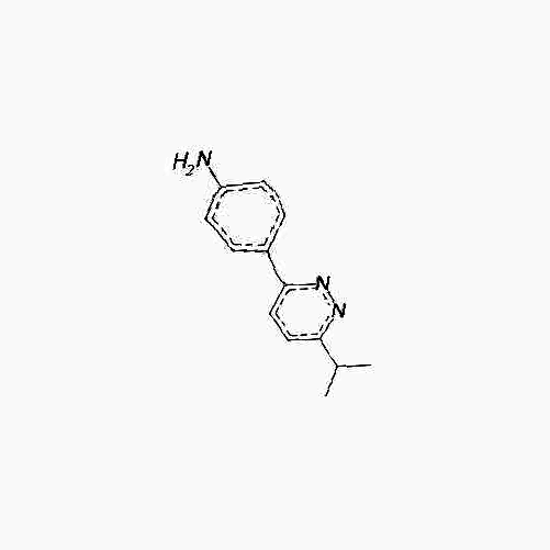 CC(C)c1ccc(-c2ccc(N)cc2)nn1